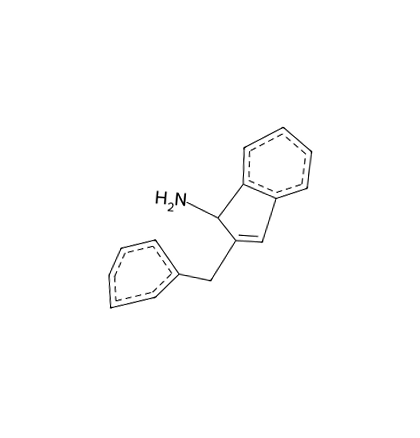 NC1C(Cc2ccccc2)=Cc2ccccc21